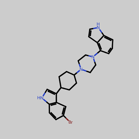 Brc1ccc2[nH]cc(C3CCC(N4CCN(c5cccc6[nH]ccc56)CC4)CC3)c2c1